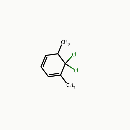 CC1=CC=CC(C)C1(Cl)Cl